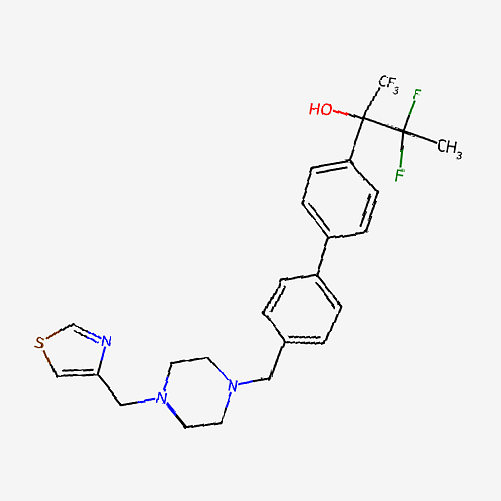 CC(F)(F)C(O)(c1ccc(-c2ccc(CN3CCN(Cc4cscn4)CC3)cc2)cc1)C(F)(F)F